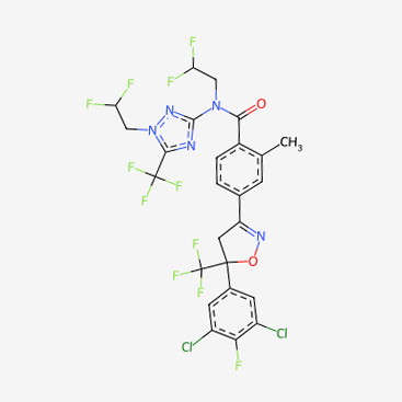 Cc1cc(C2=NOC(c3cc(Cl)c(F)c(Cl)c3)(C(F)(F)F)C2)ccc1C(=O)N(CC(F)F)c1nc(C(F)(F)F)n(CC(F)F)n1